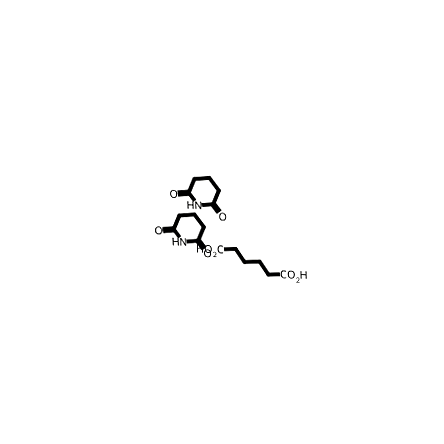 O=C(O)CCCCC(=O)O.O=C1CCCC(=O)N1.O=C1CCCC(=O)N1